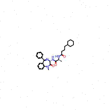 C[C@H](NC(=O)CCCC1CCCCC1)C(=O)N[C@H]1N=C(c2ccccc2)c2ccccc2N(C)C1=O